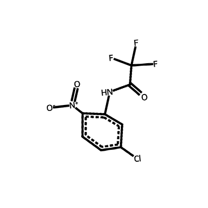 O=C(Nc1cc(Cl)ccc1[N+](=O)[O-])C(F)(F)F